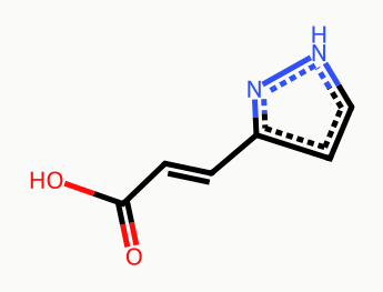 O=C(O)C=Cc1cc[nH]n1